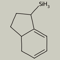 [SiH3]C1CCC2CC=CC=C12